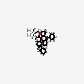 C=C/C=C\C1=C(C)Sc2cc3sc4ccccc4c3cc2C12c1ccccc1N(c1ccccc1)c1ccccc12